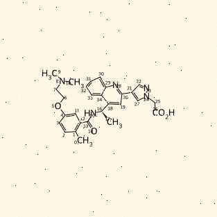 Cc1ccc(OCCN(C)C)cc1C(=O)N[C@H](C)c1cc(-c2cnn(CC(=O)O)c2)nc2ccccc12